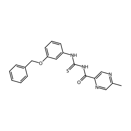 Cc1cnc(C(=O)NC(=S)Nc2cccc(OCc3ccccc3)c2)cn1